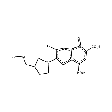 CCNCC1CCN(c2cc3c(cc2F)c(=O)c(C(=O)O)cn3NC)C1